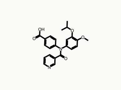 COc1ccc(N(C(=O)c2cccnc2)c2ccc(C(=O)O)cc2)cc1OC(C)C